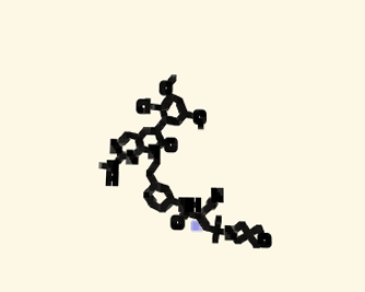 CNc1ncc2cc(-c3cc(OC)cc(OC)c3Cl)c(=O)n(CCc3cccc(NC(=O)/C(C#N)=C/C(C)(C)N4CC5(COC5)C4)c3)c2n1